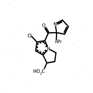 CCCC1(C(=O)c2c(Cl)cc3n2CCC3C(=O)O)C=CC=N1